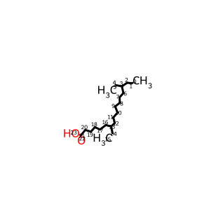 CCCC(CC)CCCCCCCC(CC)CCCCCC(=O)O